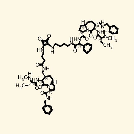 CC[C@H](NC)C(=O)N[C@@H]1C(=O)N2[C@@H](CC[C@@H]1CNC(=O)CCCNc1c(NCCCCNC(=O)[C@@H](NC(=O)[C@@H]3CC[C@@H]4CC[C@H](CNCc5ccccc5)[C@H](NC(=O)[C@H](CC)NC)C(=O)N43)c3ccccc3)c(=O)c1=O)CC[C@H]2C(=O)NCc1ccccc1